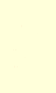 CCC(CC(C)O)c1ccccc1C(=O)O